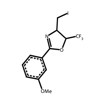 COc1cccc(C2=NC(CI)C(C(F)(F)F)O2)c1